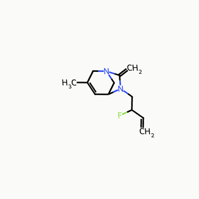 C=CC(F)CN1C(=C)N2CC(C)=CC1C2